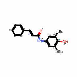 CC(C)(C)c1cc(NC(=O)/C=C/c2ccccc2)cc(C(C)(C)C)c1O